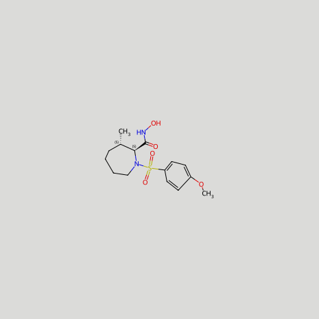 COc1ccc(S(=O)(=O)N2CCCC[C@H](C)[C@H]2C(=O)NO)cc1